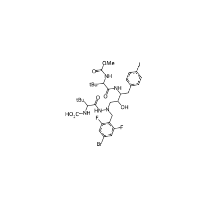 COC(=O)NC(C(=O)NC(Cc1ccc(I)cc1)C(O)CN(Cc1c(F)cc(Br)cc1F)NC(=O)C(NC(=O)O)C(C)(C)C)C(C)(C)C